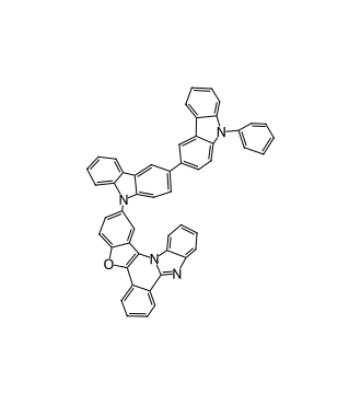 c1ccc(-n2c3ccccc3c3cc(-c4ccc5c(c4)c4ccccc4n5-c4ccc5oc6c7ccccc7c7nc8ccccc8n7c6c5c4)ccc32)cc1